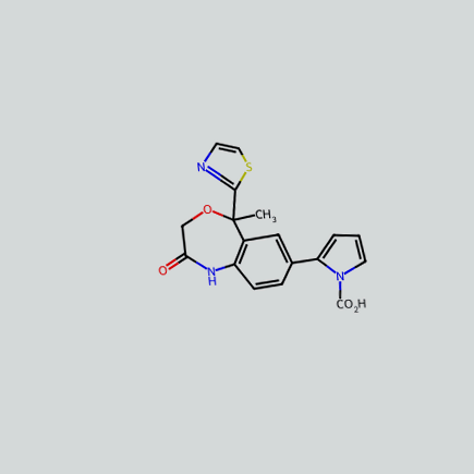 CC1(c2nccs2)OCC(=O)Nc2ccc(-c3cccn3C(=O)O)cc21